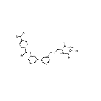 CCC(CC)c1ccc(N(Cc2cccc(-c3cccc(CSCC(NC(=O)OC(C)(C)C)C(=O)OC)c3)c2)C(C)C)cc1